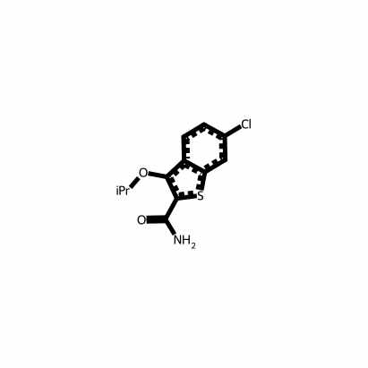 CC(C)Oc1c(C(N)=O)sc2cc(Cl)ccc12